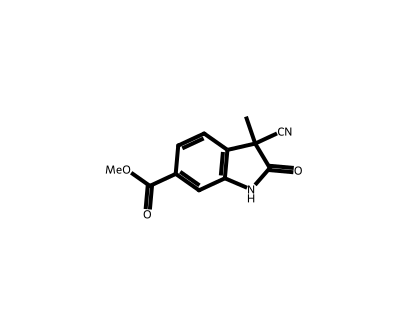 COC(=O)c1ccc2c(c1)NC(=O)C2(C)C#N